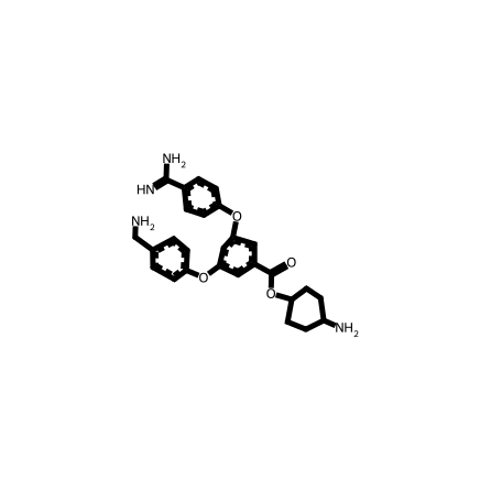 N=C(N)c1ccc(Oc2cc(Oc3ccc(CN)cc3)cc(C(=O)OC3CCC(N)CC3)c2)cc1